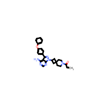 C=CC(=O)N1CCC2(CC1)CC(n1nc(-c3ccc(Oc4ccccc4)cc3)c3c(N)ncnc31)C2